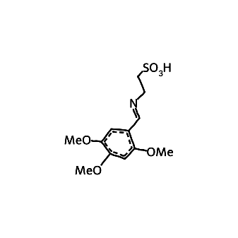 COc1cc(OC)c(OC)cc1C=NCCS(=O)(=O)O